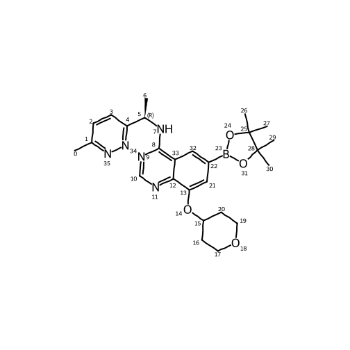 Cc1ccc([C@@H](C)Nc2ncnc3c(OC4CCOCC4)cc(B4OC(C)(C)C(C)(C)O4)cc23)nn1